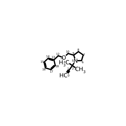 C#CC(C)(C)N1CCCC1COCc1ccccc1